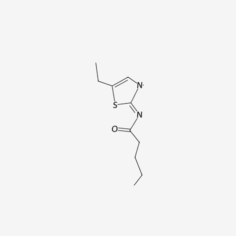 CCCCC(=O)N=C1[N]C=C(CC)S1